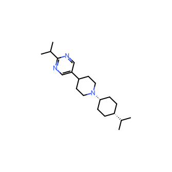 CC(C)c1ncc(C2CCN([C@H]3CC[C@@H](C(C)C)CC3)CC2)cn1